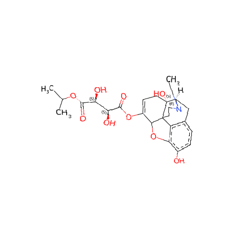 CC(C)OC(=O)[C@@H](O)[C@H](O)C(=O)OC1=CC[C@@]2(O)[C@H]3Cc4ccc(O)c5c4C2(CCN3C)C1O5